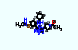 CNSc1ccc(NC2CCCCC2)c(/C(N)=N/N(N)C2CCN(C(C)=O)CC2)c1